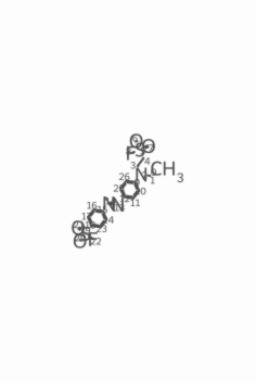 CCN(CCS(=O)(=O)F)c1ccc(N=Nc2ccc(S(=O)(=O)F)cc2)cc1